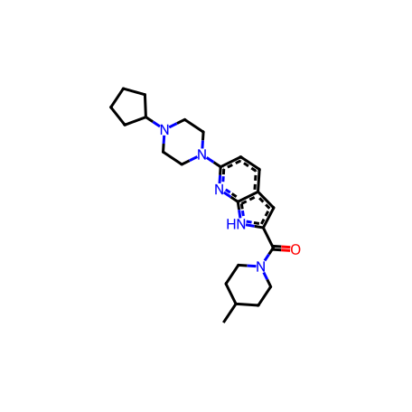 CC1CCN(C(=O)c2cc3ccc(N4CCN(C5CCCC5)CC4)nc3[nH]2)CC1